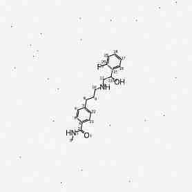 CNC(=O)c1ccc(CCCNC[C@H](O)c2ccccc2F)cc1